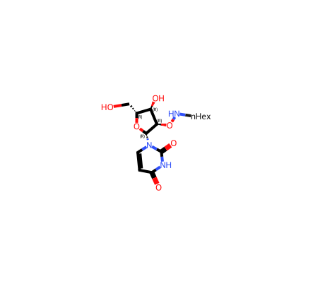 CCCCCCNO[C@@H]1[C@H](O)[C@@H](CO)O[C@H]1n1ccc(=O)[nH]c1=O